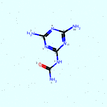 NC(=O)Nc1nc(N)nc(N)n1